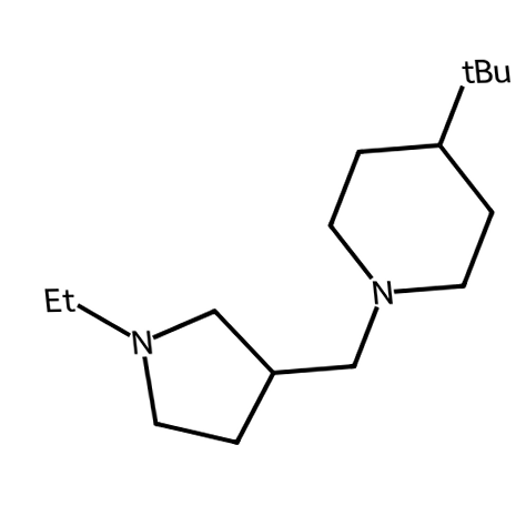 CCN1CCC(CN2CCC(C(C)(C)C)CC2)C1